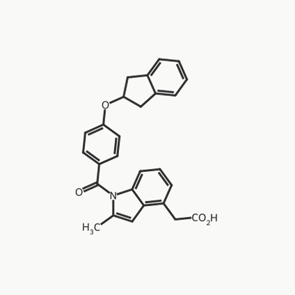 Cc1cc2c(CC(=O)O)cccc2n1C(=O)c1ccc(OC2Cc3ccccc3C2)cc1